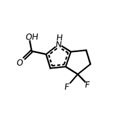 O=C(O)c1cc2c([nH]1)CCC2(F)F